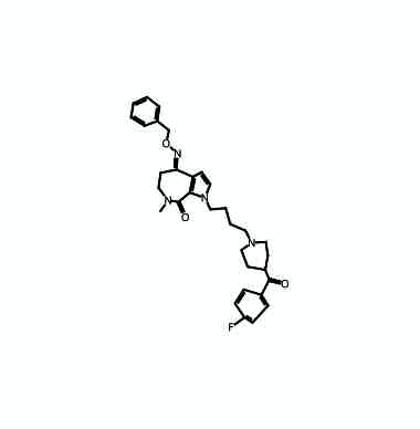 CN1CCC(=NOCc2ccccc2)c2ccn(CCCCN3CCC(C(=O)c4ccc(F)cc4)CC3)c2C1=O